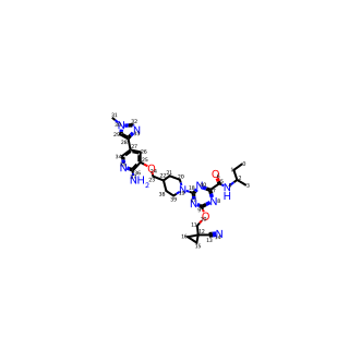 CCC(C)NC(=O)c1nc(OCC2(C#N)CC2)nc(N2CCC(COc3cc(-c4cn(C)cn4)cnc3N)CC2)n1